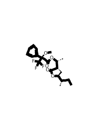 CC[C@H](C)[C@@H]1C[C@@H]([C@@H](C)OC(=O)[C@@](OC)(c2ccccc2)C(F)(F)F)C(=O)O1